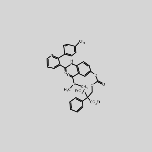 CCOC(=O)C(COC(=O)Oc1ccc(NC(=O)c2cccnc2-c2ccc(C(F)(F)F)cc2)c(C(=O)N(C)C)c1)(C(=O)OCC)c1ccccc1